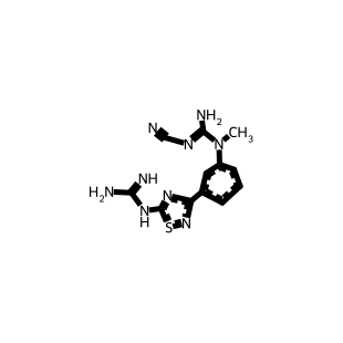 CN(C(N)=NC#N)c1cccc(-c2nsc(NC(=N)N)n2)c1